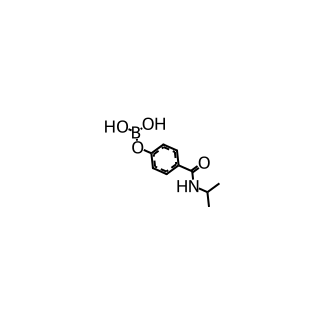 CC(C)NC(=O)c1ccc(OB(O)O)cc1